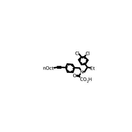 CCCCCCCCC#Cc1ccc(CN(CC(CC)c2ccc(Cl)c(Cl)c2)C(=O)C(=O)O)cc1